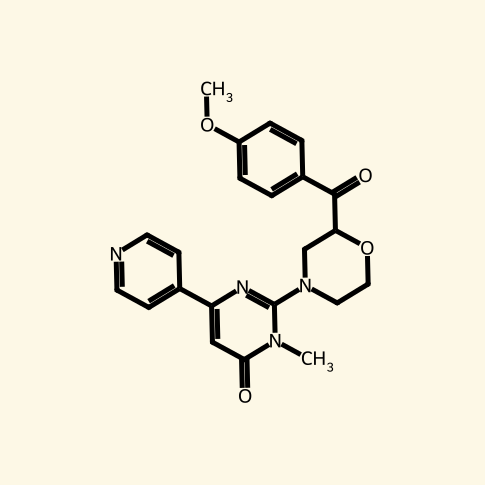 COc1ccc(C(=O)C2CN(c3nc(-c4ccncc4)cc(=O)n3C)CCO2)cc1